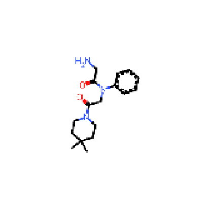 CC1(C)CCN(C(=O)CN(C(=O)CN)c2ccccc2)CC1